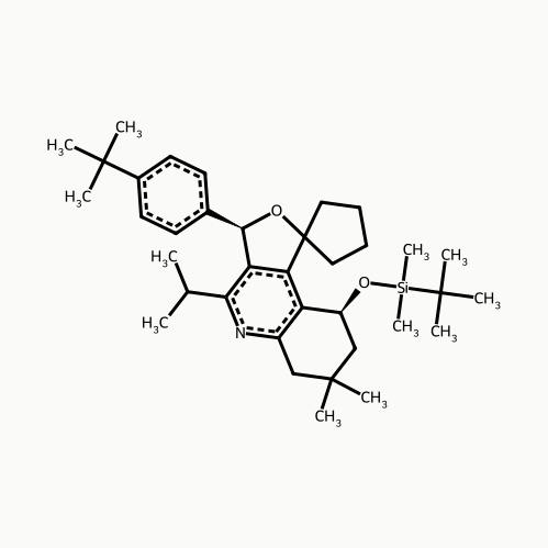 CC(C)c1nc2c(c3c1[C@@H](c1ccc(C(C)(C)C)cc1)OC31CCCC1)[C@@H](O[Si](C)(C)C(C)(C)C)CC(C)(C)C2